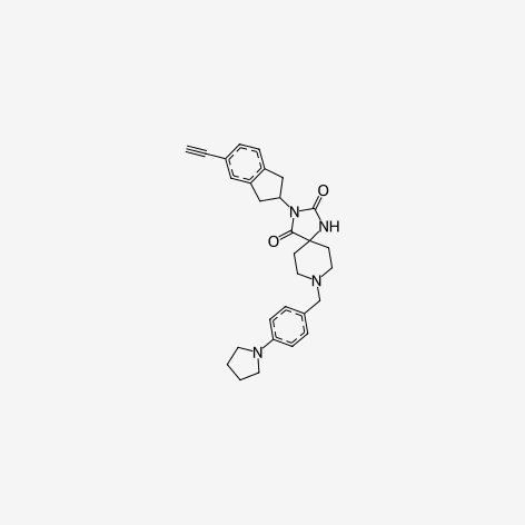 C#Cc1ccc2c(c1)CC(N1C(=O)NC3(CCN(Cc4ccc(N5CCCC5)cc4)CC3)C1=O)C2